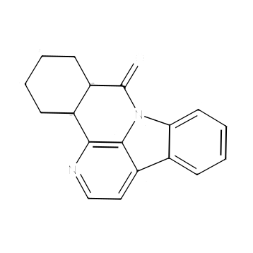 O=C1C2CCCCC2c2nccc3c4ccccc4n1c23